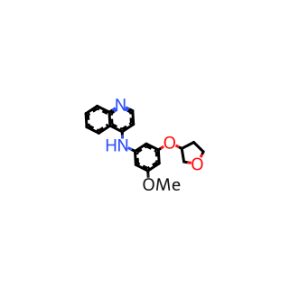 COc1cc(Nc2ccnc3ccccc23)cc(OC2CCOC2)c1